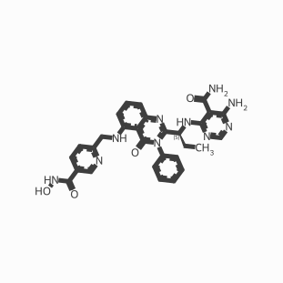 CC[C@H](Nc1ncnc(N)c1C(N)=O)c1nc2cccc(NCc3ccc(C(=O)NO)cn3)c2c(=O)n1-c1ccccc1